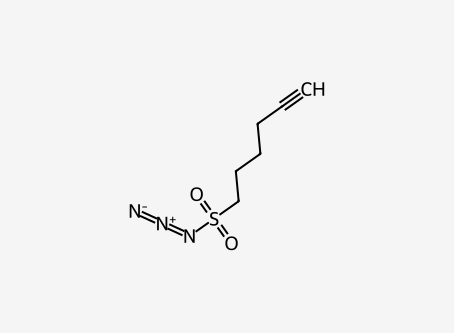 C#CCCCCS(=O)(=O)N=[N+]=[N-]